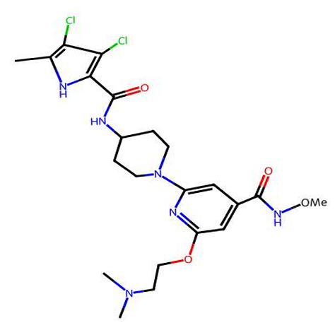 CONC(=O)c1cc(OCCN(C)C)nc(N2CCC(NC(=O)c3[nH]c(C)c(Cl)c3Cl)CC2)c1